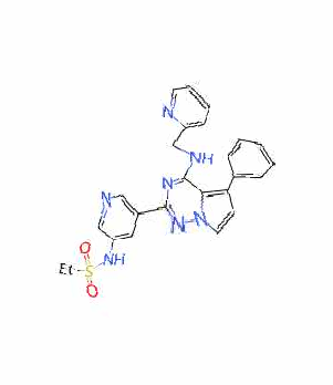 CCS(=O)(=O)Nc1cncc(-c2nc(NCc3ccccn3)c3c(-c4ccccc4)ccn3n2)c1